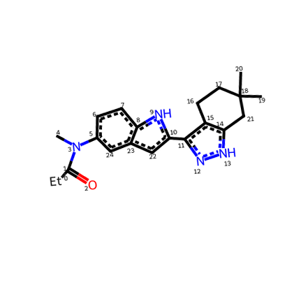 CCC(=O)N(C)c1ccc2[nH]c(-c3n[nH]c4c3CCC(C)(C)C4)cc2c1